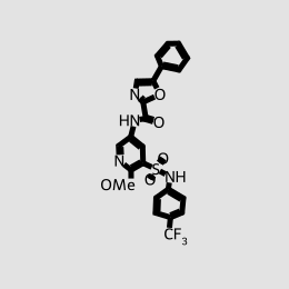 COc1ncc(NC(=O)c2ncc(-c3ccccc3)o2)cc1S(=O)(=O)Nc1ccc(C(F)(F)F)cc1